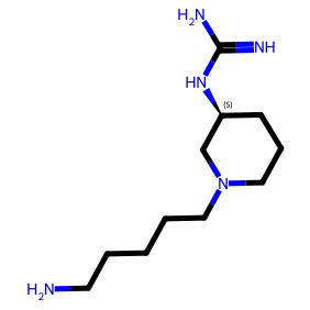 N=C(N)N[C@H]1CCCN(CCCCCN)C1